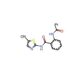 CC(C)C(=O)Nc1ccccc1C(=O)Nc1ncc(N=O)s1